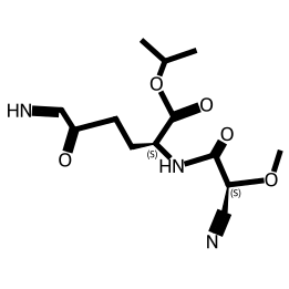 CO[C@@H](C#N)C(=O)N[C@@H](CCC(=O)C=N)C(=O)OC(C)C